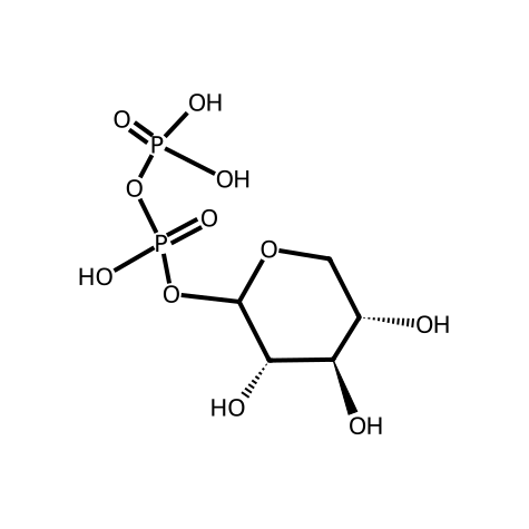 O=P(O)(O)OP(=O)(O)OC1OC[C@H](O)[C@@H](O)[C@@H]1O